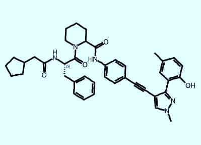 Cc1ccc(O)c(-c2nn(C)cc2C#Cc2ccc(NC(=O)C3CCCCN3C(=O)[C@H](Cc3ccccc3)NC(=O)CC3CCCC3)cc2)c1